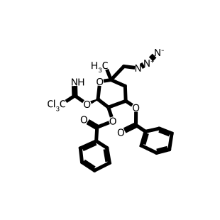 CC1(CN=[N+]=[N-])CC(OC(=O)c2ccccc2)C(OC(=O)c2ccccc2)[C@@H](OC(=N)C(Cl)(Cl)Cl)O1